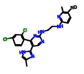 Cc1c[nH]c(-c2cnc(NCCNc3ccc(N=O)c(C)n3)nc2-c2ccc(Cl)cc2Cl)n1